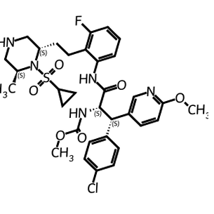 COC(=O)N[C@H](C(=O)Nc1cccc(F)c1CC[C@H]1CNC[C@H](C)N1S(=O)(=O)C1CC1)[C@@H](c1ccc(Cl)cc1)c1ccc(OC)nc1